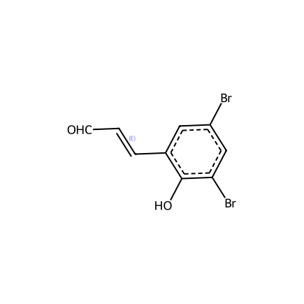 O=C/C=C/c1cc(Br)cc(Br)c1O